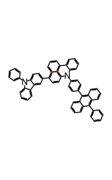 c1ccc(-c2ccccc2N(c2ccc(-c3ccc4c(c3)c3ccccc3n4-c3ccccc3)cc2)c2ccc(-c3c4ccccc4c(-c4ccccc4)c4ccccc34)cc2)cc1